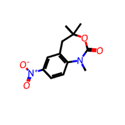 CN1C(=O)OC(C)(C)Cc2cc([N+](=O)[O-])ccc21